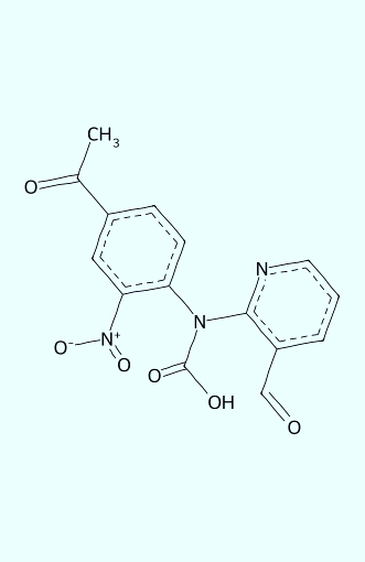 CC(=O)c1ccc(N(C(=O)O)c2ncccc2C=O)c([N+](=O)[O-])c1